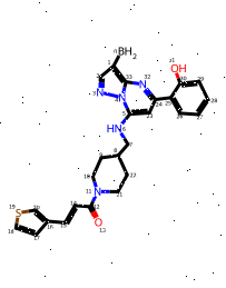 Bc1cnn2c(NCC3CCN(C(=O)/C=C/c4ccsc4)CC3)cc(-c3ccccc3O)nc12